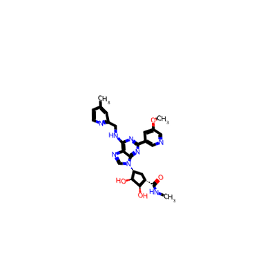 CNC(=O)[C@H]1C[C@@H](n2cnc3c(NCc4cc(C)ccn4)nc(-c4cncc(OC)c4)nc32)[C@H](O)[C@@H]1O